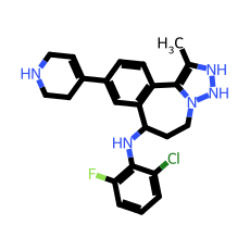 CC1=C2c3ccc(C4=CCNCC4)cc3C(Nc3c(F)cccc3Cl)CCN2NN1